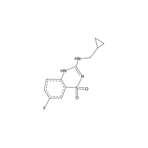 O=S1(=O)N=C(NCC2CC2)Nc2ccc(F)cc21